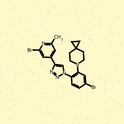 Cc1cc(-c2cn(-c3ccc(Br)cc3N3CCC4(CC3)CC4)nn2)cc(Br)n1